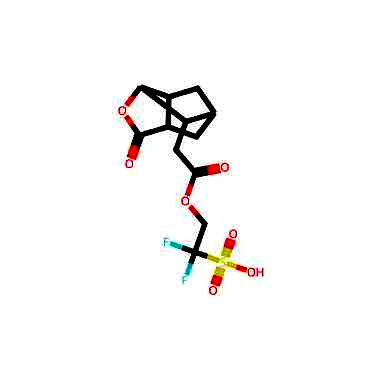 O=C(CC1C2CC3C(=O)OC1C3C2)OCC(F)(F)S(=O)(=O)O